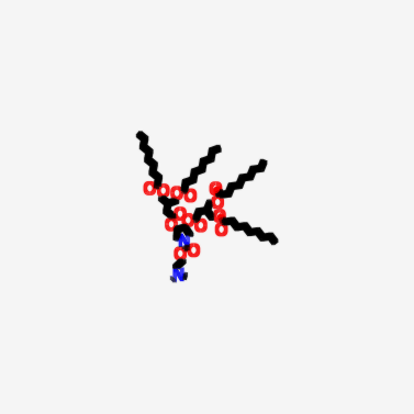 CCCCCCCCC(=O)OCC(COC(=O)CCCCCCCC)CC(=O)O[C@H]1CN(C(=O)OCCN(C)C)C[C@@H]1OC(=O)CC(COC(=O)CCCCCCCC)COC(=O)CCCCCCCC